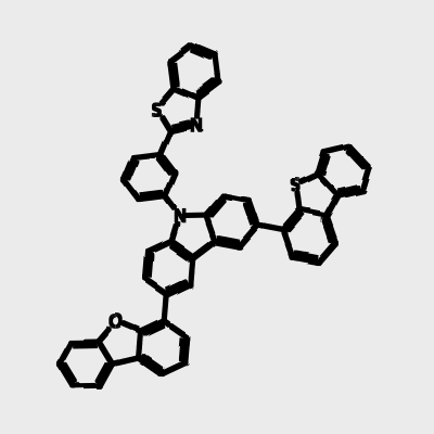 c1cc(-c2nc3ccccc3s2)cc(-n2c3ccc(-c4cccc5c4oc4ccccc45)cc3c3cc(-c4cccc5c4sc4ccccc45)ccc32)c1